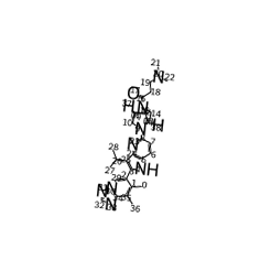 Cc1c(-c2[nH]c3ccc(N4C[C@H]5C[C@@H]4CN5C(=O)CCN(C)C)nc3c2C(C)C)cn2ncnc2c1C